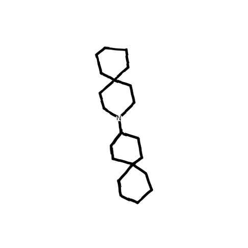 C1CCC2(CC1)CCC(N1CCC3(CCCCC3)CC1)CC2